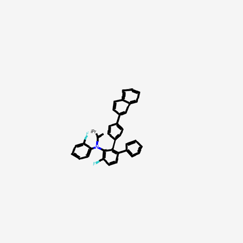 CC(C)C(C)N(c1ccccc1F)c1c(F)ccc(-c2ccccc2)c1-c1ccc(-c2ccc3ccccc3c2)cc1